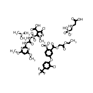 CCOC(=O)COC(=O)c1cc(Oc2ccc(C(F)(F)F)cc2Cl)ccc1[N+](=O)[O-].COc1cc(OC)nc(NC(=O)NS(=O)(=O)c2c(C(=O)O)c(Cl)nn2C)n1.C[S+](C)C.O=C(O)CNCP(=O)([O-])O